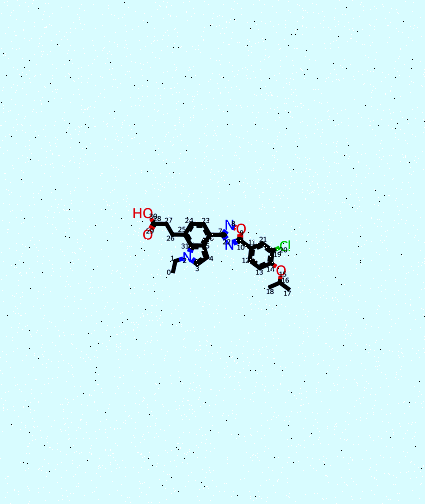 CCn1ccc2c(-c3noc(-c4ccc(OC(C)C)c(Cl)c4)n3)ccc(CCC(=O)O)c21